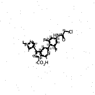 Cn1cc(-c2nn(C(=O)O)c3cnc(-c4c(F)cc(NC(=O)CCl)cc4F)cc23)cn1